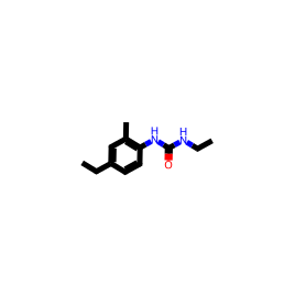 CCNC(=O)Nc1ccc(CC)cc1C